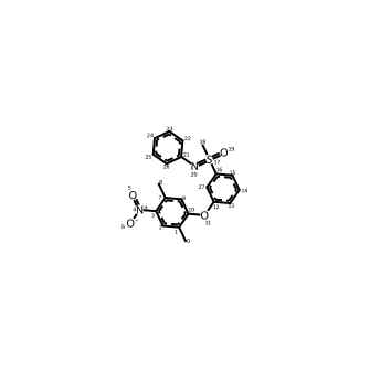 Cc1cc([N+](=O)[O-])c(C)cc1Oc1cccc(S(C)(=O)=Nc2ccccc2)c1